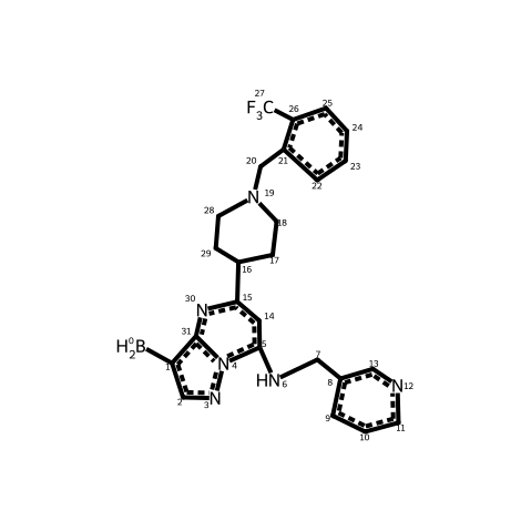 Bc1cnn2c(NCc3cccnc3)cc(C3CCN(Cc4ccccc4C(F)(F)F)CC3)nc12